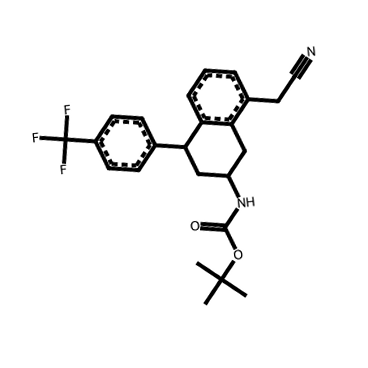 CC(C)(C)OC(=O)NC1Cc2c(CC#N)cccc2C(c2ccc(C(F)(F)F)cc2)C1